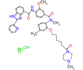 COc1cc(C(=O)N(C)c2ccc(C)cc2OCCCCCC(=O)N2CCN(C)CC2)ccc1NC(=O)c1cccc2[nH]c(-c3ccccn3)nc12.Cl.Cl.Cl